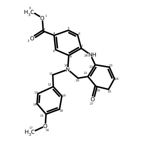 COC(=O)c1ccc2c(c1)N(Cc1ccc(OC)cc1)CC1=C(C=CCC1=O)N2